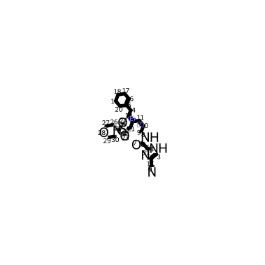 N#Cc1c[nH]c(C(=O)NC/C=C\C(=C/CC2=CCCCC2)CS(=O)(=O)N2CCOCC2)n1